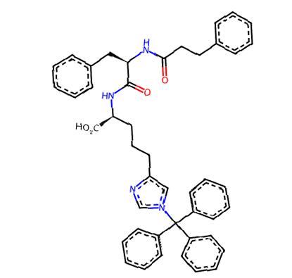 O=C(CCc1ccccc1)N[C@H](Cc1ccccc1)C(=O)N[C@@H](CCCc1cn(C(c2ccccc2)(c2ccccc2)c2ccccc2)cn1)C(=O)O